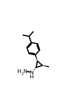 CC(C)c1ccc([C@H]2[C@@H](C)[C@@H]2NN)cc1